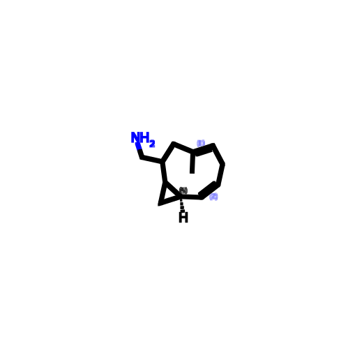 C/C1=C\C/C=C\[C@H]2CC2C(CN)C1